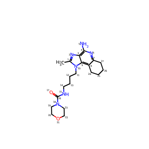 Cc1nc2c(N)nc3c(c2n1CCCCNC(=O)N1CCOCC1)CCCC3